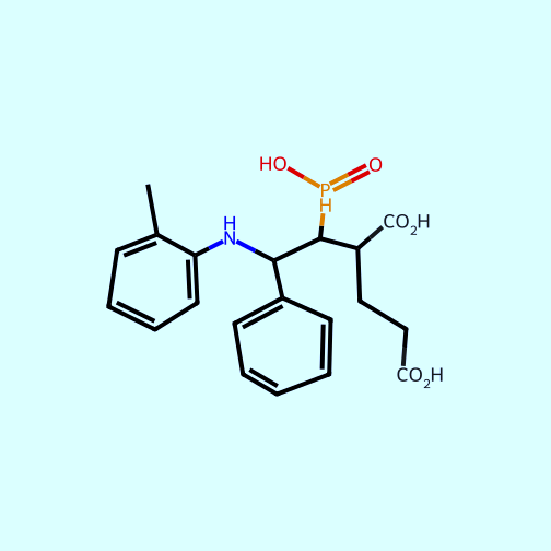 Cc1ccccc1NC(c1ccccc1)C(C(CCC(=O)O)C(=O)O)[PH](=O)O